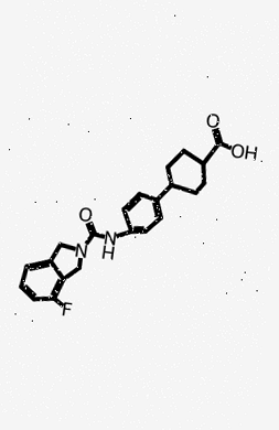 O=C(O)C1CCC(c2ccc(NC(=O)N3Cc4cccc(F)c4C3)cc2)CC1